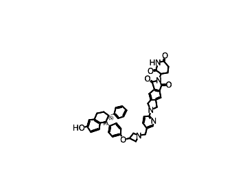 O=C1CCC(N2C(=O)c3cc4c(cc3C2=O)CN(c2ccc(CN3CC(Oc5ccc([C@@H]6c7ccc(O)cc7CC[C@@H]6c6ccccc6)cc5)C3)cn2)C4)C(=O)N1